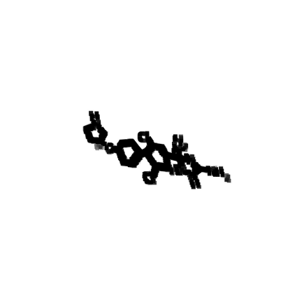 NC1=NC(N)(c2cc(Cl)c(-c3ccc(O[C@H]4CCNC4)cc3)c(Cl)c2)NN1